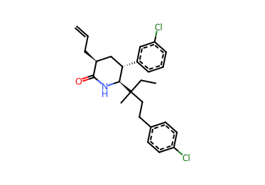 C=CC[C@H]1C[C@H](c2cccc(Cl)c2)[C@@H](C(C)(CC)CCc2ccc(Cl)cc2)NC1=O